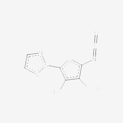 CCOC(=O)c1c(N=C=O)sc(-n2nccn2)c1C